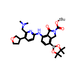 CN(C)Cc1nc(Nc2ccc(B3OC(C)(C)C(C)(C)O3)c3c2C(=O)N(C(=O)OC(C)(C)C)C3)ccc1C1CCOC1